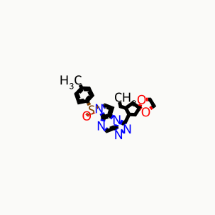 CCC1CC2(CC1c1nnc3cnc4c(ccn4[S+]([O-])c4ccc(C)cc4)n13)OCCO2